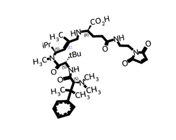 C/C(=C\[C@H](C(C)C)N(C)C(=O)[C@@H](NC(=O)[C@@H](N(C)C)C(C)(C)c1ccccc1)C(C)(C)C)CN[C@H](CCC(=O)NCCN1C(=O)C=CC1=O)C(=O)O